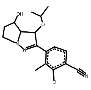 Cc1c(C2=NN3CCC(O)C3C2OC(C)C)ccc(C#N)c1Cl